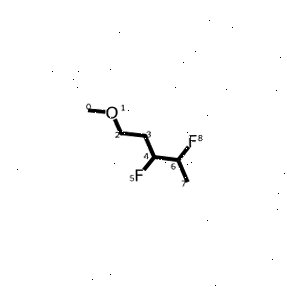 COCCC(F)C(C)F